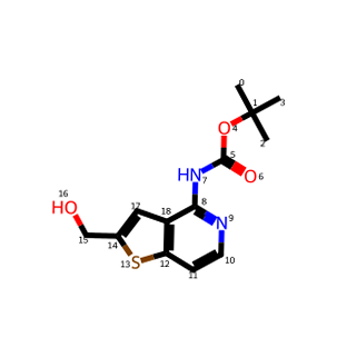 CC(C)(C)OC(=O)Nc1nccc2sc(CO)cc12